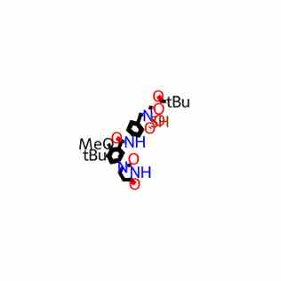 COc1c(C(=O)Nc2ccc(CN(COC(=O)C(C)(C)C)[SH](=O)=O)cc2)cc(N2CCC(=O)NC2=O)cc1C(C)(C)C